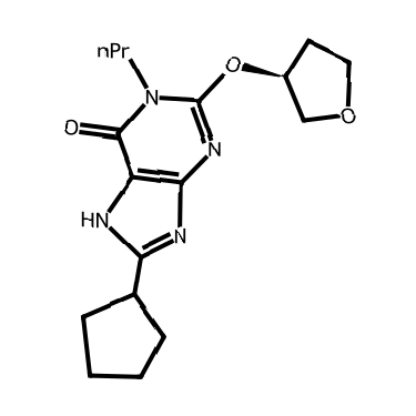 CCCn1c(O[C@H]2CCOC2)nc2nc(C3CCCC3)[nH]c2c1=O